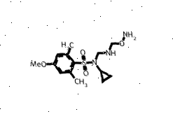 COc1cc(C)c(S(=O)(=O)N(CNCON)C2CC2)c(C)c1